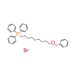 [Br-].c1ccc(COCCCCCCCCC[P+](c2ccccc2)(c2ccccc2)c2ccccc2)cc1